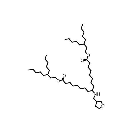 CCCCCC(CCCCC)CCOC(=O)CCCCCCCC(CCCCCCCC(=O)OCCC(CCCCC)CCCCC)NCC1CCOC1